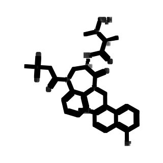 COc1ccc2c(Br)cccc2c1CN1C(=O)[C@@H](NC(=O)[C@H](C)N(C)C(=O)O)CN(C(=O)CS(C)(=O)=O)c2ccccc21